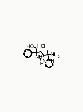 CC(N)(c1ncccn1)C(O)CC(N)(CO)c1ccccc1.Cl